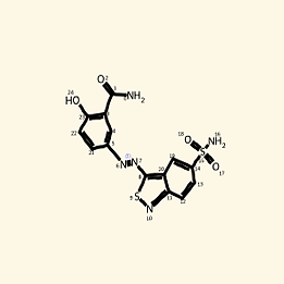 NC(=O)c1cc(/N=N/c2snc3ccc(S(N)(=O)=O)cc23)ccc1O